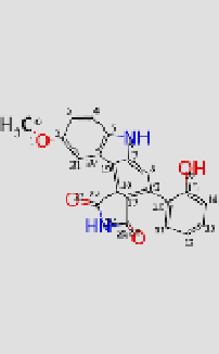 COc1ccc2[nH]c3cc(-c4ccccc4O)c4c(c3c2c1)C(=O)NC4=O